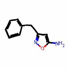 Nc1cc(Cc2ccccc2)no1